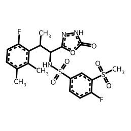 Cc1ccc(F)c(C(C)C(NS(=O)(=O)c2ccc(F)c(S(C)(=O)=O)c2)c2n[nH]c(=O)o2)c1C